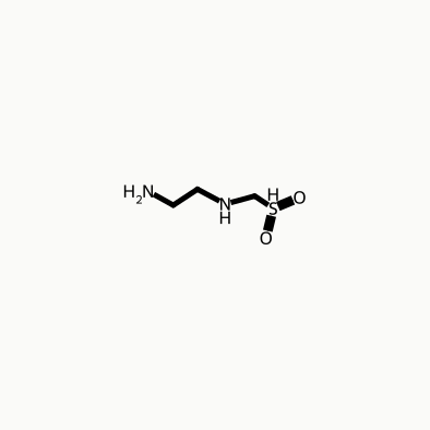 NCCNC[SH](=O)=O